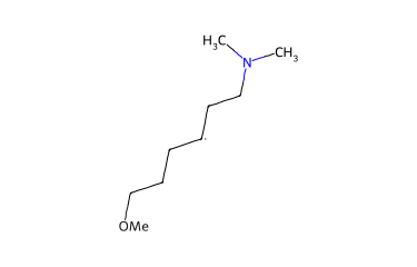 COCCC[CH]CCN(C)C